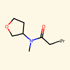 CC(C)CC(=O)N(C)C1CCOC1